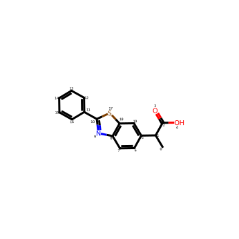 CC(C(=O)O)c1ccc2nc(-c3ccccc3)sc2c1